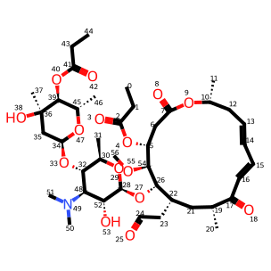 CCC(=O)O[C@@H]1CC(=O)O[C@H](C)C/C=C/C=C/C(=O)[C@H](C)C[C@H](CC=O)[C@H](O[C@@H]2O[C@H](C)[C@@H](O[C@H]3C[C@@](C)(O)[C@@H](OC(=O)CC)[C@H](C)O3)[C@H](N(C)C)[C@H]2O)[C@H]1OC